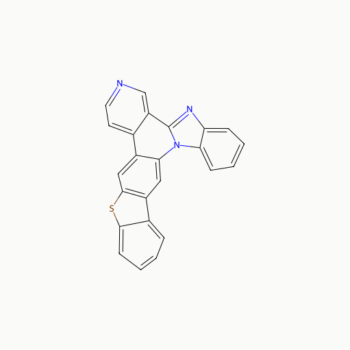 c1ccc2c(c1)nc1c3cnccc3c3cc4sc5ccccc5c4cc3n21